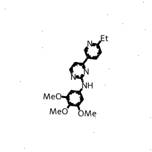 CCc1ccc(-c2ccnc(Nc3cc(OC)c(OC)c(OC)c3)n2)cn1